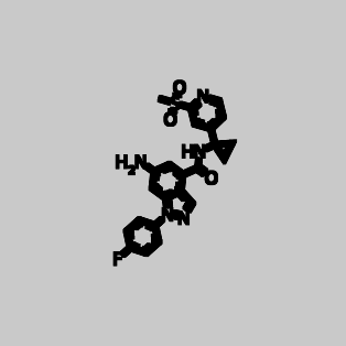 CS(=O)(=O)c1cc(C2(NC(=O)c3cc(N)cc4c3cnn4-c3ccc(F)cc3)CC2)ccn1